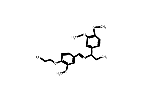 CCCOc1ccc(C=NC(CC)c2ccc(OC)c(OC)c2)cc1OC